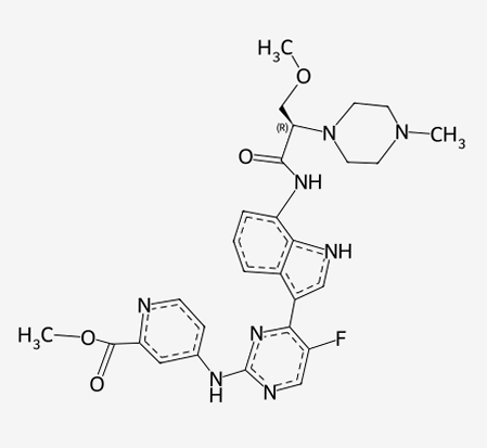 COC[C@H](C(=O)Nc1cccc2c(-c3nc(Nc4ccnc(C(=O)OC)c4)ncc3F)c[nH]c12)N1CCN(C)CC1